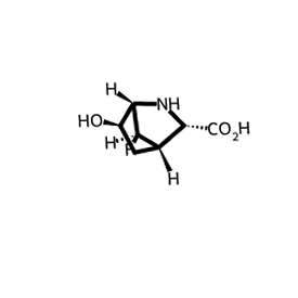 O=C(O)[C@H]1N[C@@H]2[C@H](F)[C@H]1C[C@H]2O